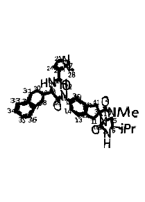 CNC(=O)C1(N2C[C@@H](C(C)C)NC2=O)Cc2ccc(NC(=O)C(NC(=O)c3ccnn3C)C3CCc4ccccc4C3)cc2C1